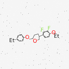 CCOc1ccc(C2CCC(COc3ccc(CC)cc3)OC2)c(F)c1F